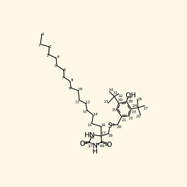 CCCCCCCCCCCCCCCCCC1(CSCc2cc(C(C)(C)C)c(O)c(C(C)(C)C)c2)NC(=O)NC1=O